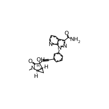 CN1C(=O)[C@](O)(C#Cc2cccc(-n3nc(C(N)=O)c4cccnc43)c2)[C@H]2C[C@H]21